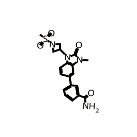 Cn1c(=O)n(C2CN(S(C)(=O)=O)C2)c2ccc(-c3cccc(C(N)=O)c3)cc21